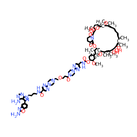 CO[C@H]1C[C@@H]2CC[C@@H](C)[C@@](O)(O2)C(=O)C(=O)N2CCCC[C@H]2C(=O)O[C@H]([C@H](C)CC2CC[C@@H](OC(=O)NCc3cnc(N4CCN(C(=O)CCOCCN5CCN(c6ncc(C(=O)NCCCCn7nc(-c8ccc9oc(N)nc9c8)c8c(N)ncnc87)cn6)CC5)CC4)nc3)[C@H](OC)C2)C[C@@H](OC)[C@H](C)/C=C(\C)[C@@H](O)[C@@H](O)C(=O)[C@H](C)C[C@H](C)/C=C/C=C/C=C/1C